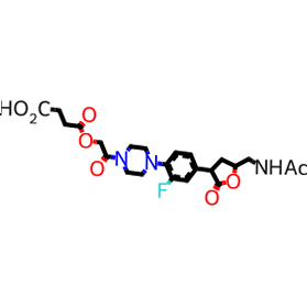 CC(=O)NCC1CC(c2ccc(N3CCN(C(=O)COC(=O)CCC(=O)O)CC3)c(F)c2)C(=O)O1